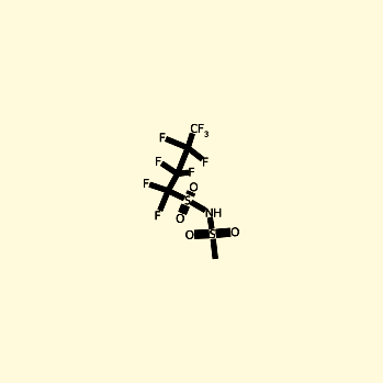 CS(=O)(=O)NS(=O)(=O)C(F)(F)C(F)(F)C(F)(F)C(F)(F)F